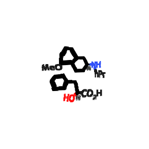 CCCN[C@H]1CCc2c(cccc2OC)C1.O=C(O)[C@@H](O)Cc1ccccc1